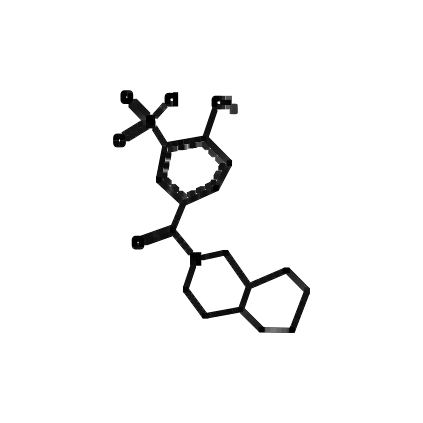 Cc1ccc(C(=O)N2CCC3CCCCC3C2)cc1S(=O)(=O)Cl